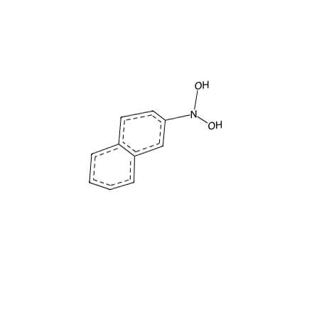 ON(O)c1ccc2ccccc2c1